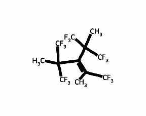 CC(=C(C(C)(C(F)(F)F)C(F)(F)F)C(C)(C(F)(F)F)C(F)(F)F)C(F)(F)F